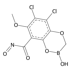 COc1c(Cl)c(Cl)c2c(c1C(=O)N=O)OB(O)CO2